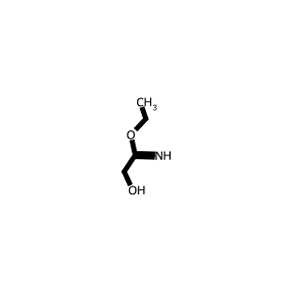 CCOC(=N)CO